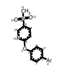 CC(=O)c1ccc(Oc2ccc(S(C)(=O)=O)cn2)cc1